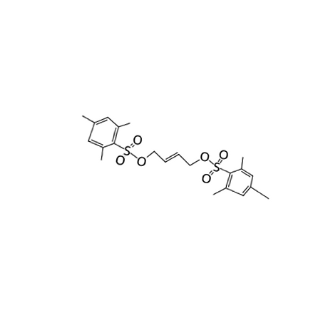 Cc1cc(C)c(S(=O)(=O)OCC=CCOS(=O)(=O)c2c(C)cc(C)cc2C)c(C)c1